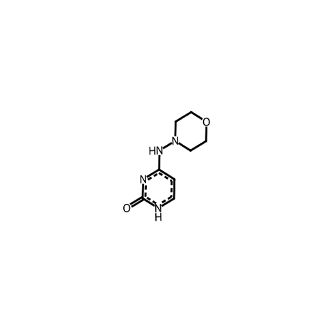 O=c1nc(NN2CCOCC2)cc[nH]1